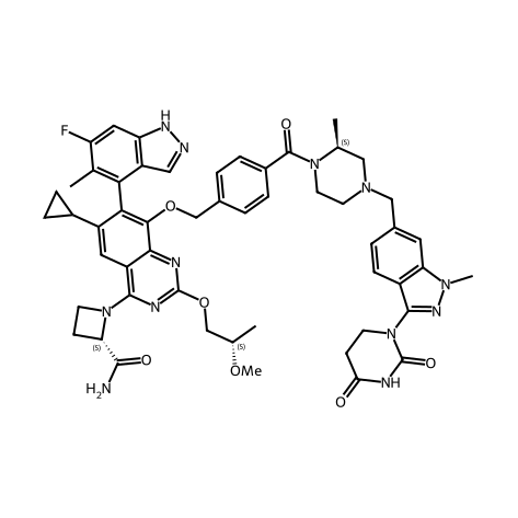 CO[C@@H](C)COc1nc(N2CC[C@H]2C(N)=O)c2cc(C3CC3)c(-c3c(C)c(F)cc4[nH]ncc34)c(OCc3ccc(C(=O)N4CCN(Cc5ccc6c(N7CCC(=O)NC7=O)nn(C)c6c5)C[C@@H]4C)cc3)c2n1